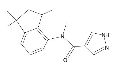 CC1CC(C)(C)c2cccc(N(C)C(=O)c3cn[nH]c3)c21